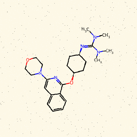 CN(C)C(=N[C@H]1CC[C@@H](Oc2nc(N3CCOCC3)cc3ccccc23)CC1)N(C)C